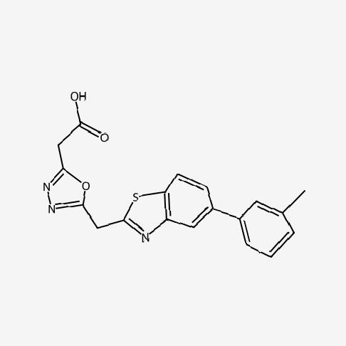 Cc1cccc(-c2ccc3sc(Cc4nnc(CC(=O)O)o4)nc3c2)c1